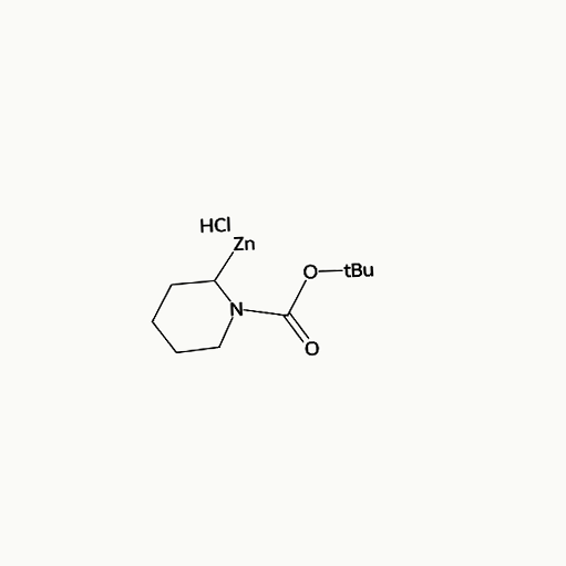 CC(C)(C)OC(=O)N1CCCC[CH]1[Zn].Cl